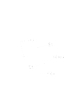 CCCCCCC(O)(CC)C1(CC)CCO1